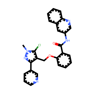 Cn1nc(-c2cccnc2)c(COc2ccccc2C(=O)Nc2cnc3ccccc3c2)c1Cl